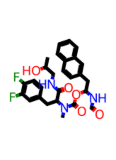 CC(O)CNC(=O)C(Cc1ccc(F)c(F)c1)N(C)C(=O)OC(Cc1ccc2ccccc2c1)NC=O